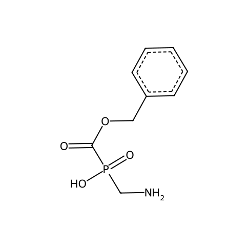 NCP(=O)(O)C(=O)OCc1ccccc1